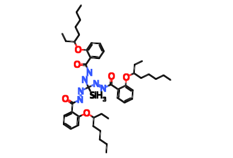 CCCCCC(CC)Oc1ccccc1C(=O)N=NC([SiH3])(N=NC(=O)c1ccccc1OC(CC)CCCCC)N=NC(=O)c1ccccc1OC(CC)CCCCC